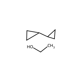 C1CC1C1CC1.CCO